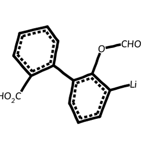 [Li][c]1cccc(-c2ccccc2C(=O)O)c1OC=O